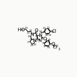 O=C1c2c(nc(Oc3cccc(OC(F)(F)F)c3)n2Cc2ccc(Cl)cc2)N2CCCC2CN1CCCO